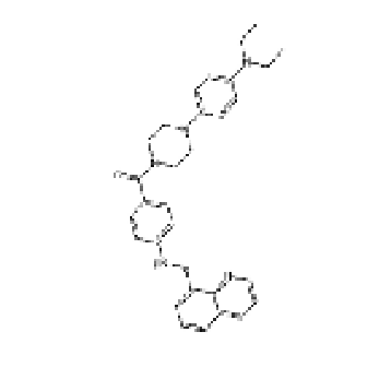 CCN(CC)c1ccc(N2CCN(C(=O)c3ccc(NSc4cccc5cccnc45)cc3)CC2)cc1